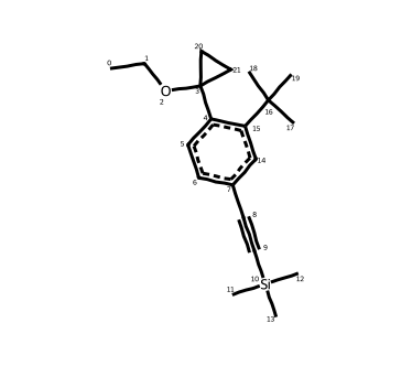 CCOC1(c2ccc(C#C[Si](C)(C)C)cc2C(C)(C)C)CC1